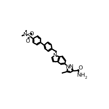 Cc1cc(C(N)=O)nn1-c1ccc2c(ccn2Cc2ccc(-c3ccc(S(=O)(=O)N(C)C)cc3)cc2)c1